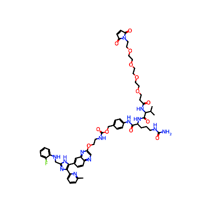 Cc1cccc(-c2nc(CNc3ccccc3F)[nH]c2-c2ccc3ncc(OCCNC(=O)OCc4ccc(NC(=O)C(CCCNC(N)=O)NC(=O)C(NC(=O)CCOCCOCCOCCOCCN5C(=O)C=CC5=O)C(C)C)cc4)nc3c2)n1